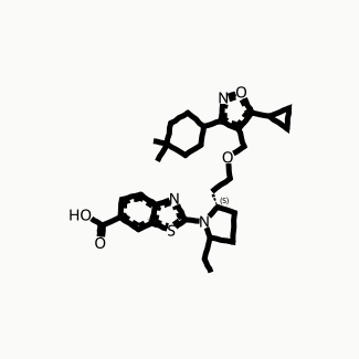 CCC1CC[C@@H](CCOCc2c(C3CCC(C)(C)CC3)noc2C2CC2)N1c1nc2ccc(C(=O)O)cc2s1